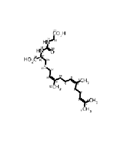 CC(C)=CCCC(C)=CCCC(C)=CCSC[C@H](NC(=O)NCC(=O)O)C(=O)O